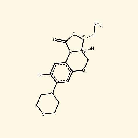 NC[C@H]1OC(=O)N2c3cc(F)c(N4CCSCC4)cc3OC[C@H]12